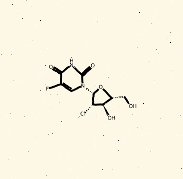 O=c1[nH]c(=O)n([C@@H]2O[C@H](CO)[C@@H](O)[C@@H]2Cl)cc1F